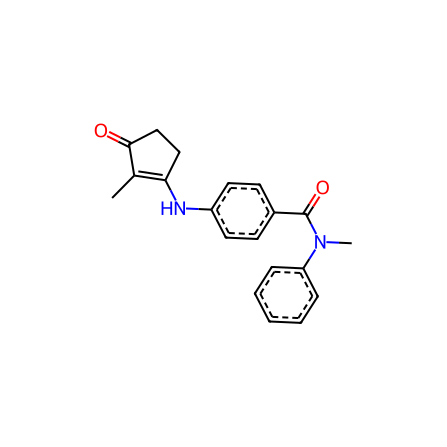 CC1=C(Nc2ccc(C(=O)N(C)c3ccccc3)cc2)CCC1=O